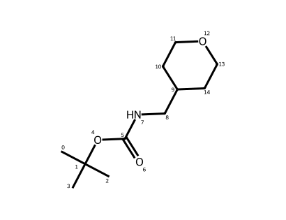 CC(C)(C)OC(=O)NCC1CCOCC1